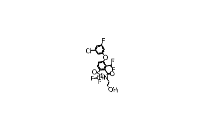 O=C(NCCO)c1c(S(=O)(=O)C(F)F)ccc(Oc2cc(F)cc(Cl)c2)c1C(F)F